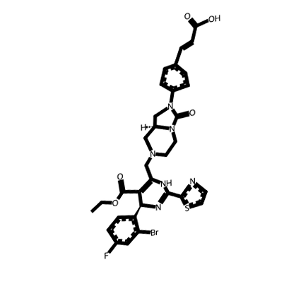 CCOC(=O)C1=C(CN2CCN3C(=O)N(c4ccc(/C=C/C(=O)O)cc4)C[C@@H]3C2)NC(c2nccs2)=N[C@H]1c1ccc(F)cc1Br